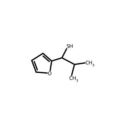 CC(C)C(S)c1ccco1